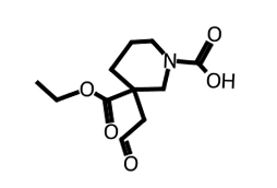 CCOC(=O)C1(CC=O)CCCN(C(=O)O)C1